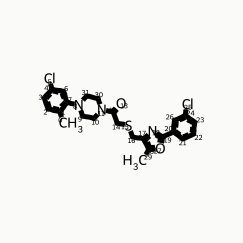 Cc1ccc(Cl)cc1N1CCN(C(=O)CSCc2nc(-c3cccc(Cl)c3)oc2C)CC1